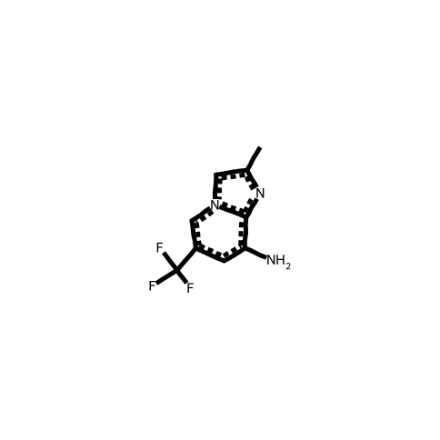 Cc1cn2cc(C(F)(F)F)cc(N)c2n1